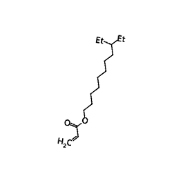 C=CC(=O)OCCCCCCCCC(CC)CC